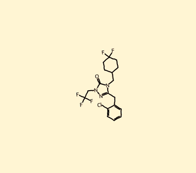 O=c1n(CC(F)(F)F)nc(Cc2ccccc2Cl)n1CC1CCC(F)(F)CC1